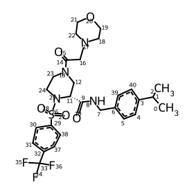 CC(C)c1ccc(CNC(=O)[C@H]2CN(C(=O)CN3CCOCC3)CCN2S(=O)(=O)c2ccc(C(F)(F)F)cc2)cc1